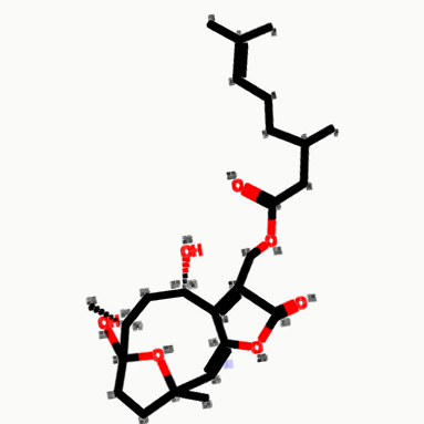 CC(C)=CCCC(C)CC(=O)OCC1=C2/C(=C\C3(C)CCC(O)(O3)[C@H](C)C[C@@H]2O)OC1=O